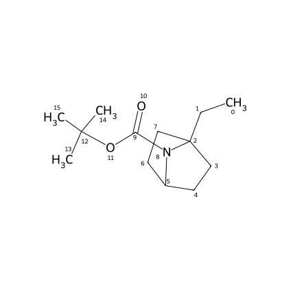 CCC12CCC(CC1)N2C(=O)OC(C)(C)C